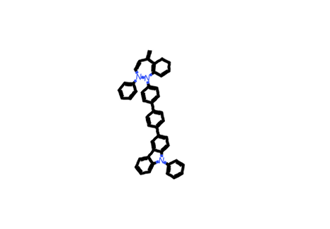 C=C1C=CN(c2ccccc2)N(c2ccc(-c3ccc(-c4ccc5c(c4)c4ccccc4n5-c4ccccc4)cc3)cc2)C2=C1CCC=C2